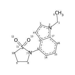 CCn1ccc2c(N3CCCS3(=O)=O)cccc21